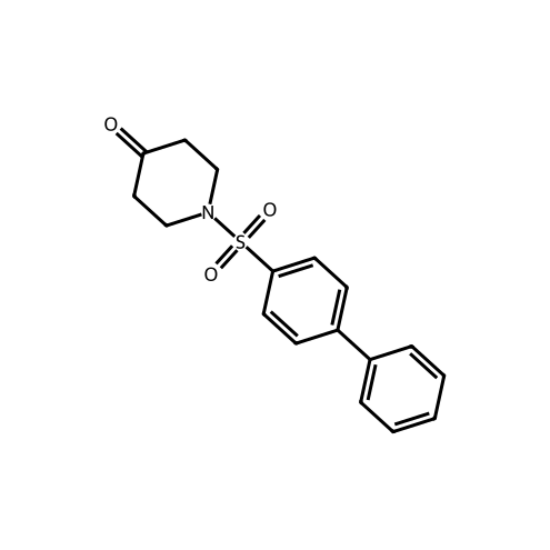 O=C1CCN(S(=O)(=O)c2ccc(-c3ccccc3)cc2)CC1